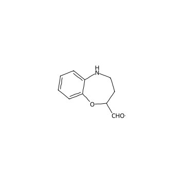 O=[C]C1CCNc2ccccc2O1